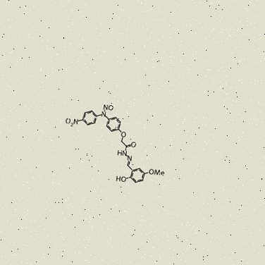 COc1ccc(O)c(C=NNC(=O)COc2ccc(N(N=O)c3ccc([N+](=O)[O-])cc3)cc2)c1